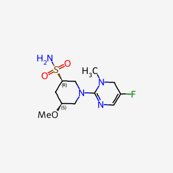 CO[C@H]1C[C@@H](S(N)(=O)=O)CN(C2=NC=C(F)CN2C)C1